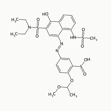 CCN(CC)S(=O)(=O)c1cc(/N=N/c2ccc(OC(C)OC)c(S(=O)O)c2)c2c(NS(C)(=O)=O)cccc2c1O